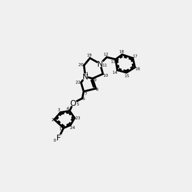 Fc1ccc(OCC2C=C3CN(Cc4ccccc4)CCN3C2)cc1